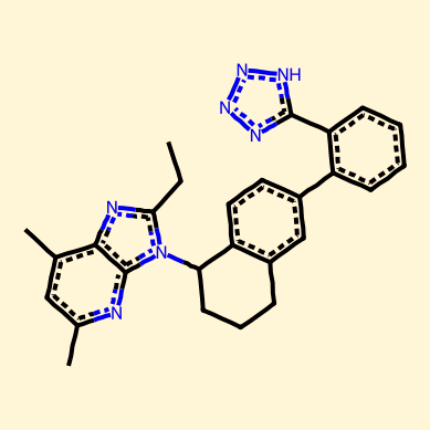 CCc1nc2c(C)cc(C)nc2n1C1CCCc2cc(-c3ccccc3-c3nnn[nH]3)ccc21